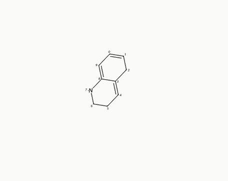 C1=CCC2=CCC[N]C2=C1